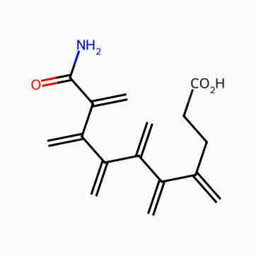 C=C(CCC(=O)O)C(=C)C(=C)C(=C)C(=C)C(=C)C(N)=O